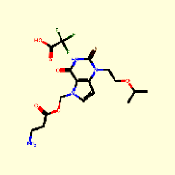 CC(C)OCCn1c(=S)[nH]c(=O)c2c1ccn2COC(=O)CCN.O=C(O)C(F)(F)F